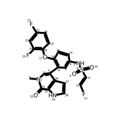 Cn1cc(-c2cc(NS(=O)(=O)C=CF)ccc2Oc2ccc(F)cc2F)c2cc[nH]c2c1=O